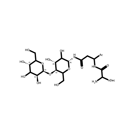 CCCCCCCCCCC(N)C(=O)NC(CC(=O)N[C@@H]1OC(CO)[C@@H](O[C@@H]2OC(CO)[C@@H](O)C(O)[C@@H]2O)[C@H](O)C1O)C(C)=O